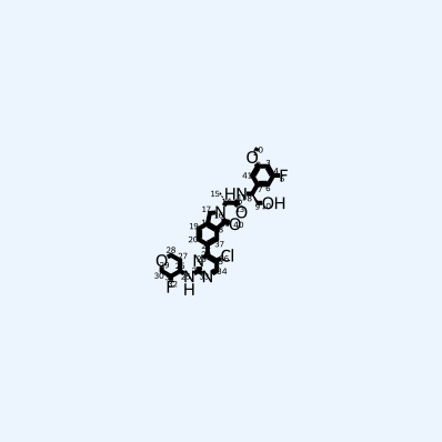 COc1cc(F)cc([C@@H](CO)NC(=O)[C@@H](C)N2Cc3ccc(-c4nc(NC5CCOCC5F)ncc4Cl)cc3C2=O)c1